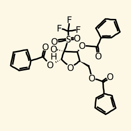 O=C(OC[C@H]1O[C@H](OC(=O)c2ccccc2)[C@@](O)(S(=O)(=O)C(F)(F)F)[C@@H]1OC(=O)c1ccccc1)c1ccccc1